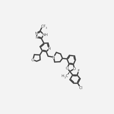 C[C@]1(c2ccc(Cl)cc2F)Oc2cccc(C3CCN(Cc4ncc(-c5nnc(C(F)(F)F)[nH]5)cc4C4CCOC4)CC3)c2O1